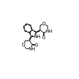 O=C1NCOC/C1=c1/[nH]/c(=C2/COCNC2=O)c2ccccc12